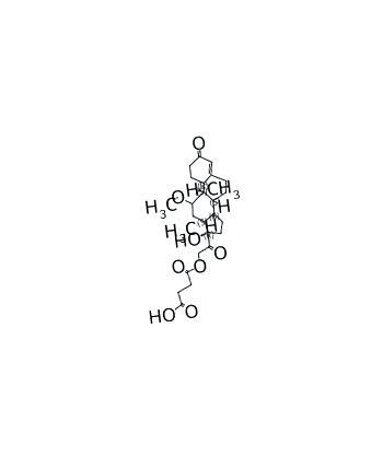 COC1C[C@@]2(C)[C@@H](CC[C@]2(O)C(=O)COC(=O)CCC(=O)O)[C@@H]2CCC3=CC(=O)CC[C@]3(C)[C@@H]12